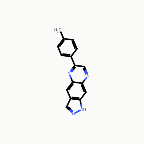 Cc1ccc(-c2cnc3cc4[nH]ncc4cc3n2)cc1